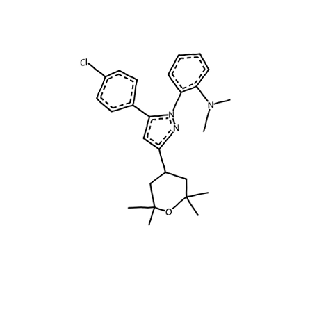 CN(C)c1ccccc1-n1nc(C2CC(C)(C)OC(C)(C)C2)cc1-c1ccc(Cl)cc1